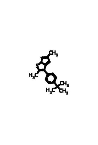 CC1=[C]C2SC(C)=C(c3ccc(C(C)(C)C)cc3)C2=C1